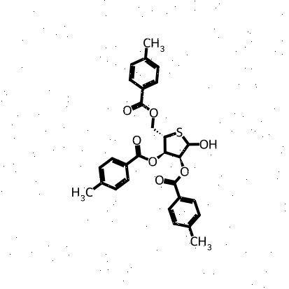 Cc1ccc(C(=O)OC[C@@H]2SC(O)[C@@H](OC(=O)c3ccc(C)cc3)[C@H]2OC(=O)c2ccc(C)cc2)cc1